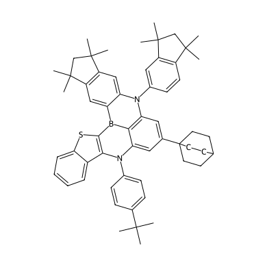 CC(C)(C)c1ccc(N2c3cc(C45CCC(CC4)CC5)cc4c3B(c3cc5c(cc3N4c3ccc4c(c3)C(C)(C)CC4(C)C)C(C)(C)CC5(C)C)c3sc4ccccc4c32)cc1